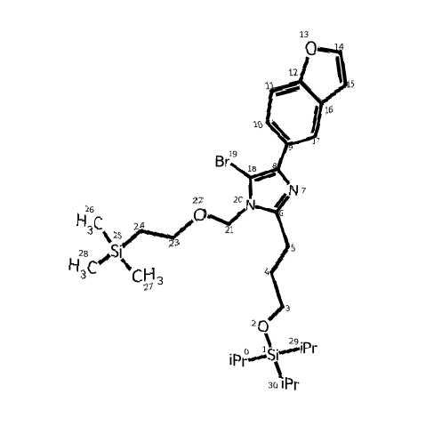 CC(C)[Si](OCCCc1nc(-c2ccc3occc3c2)c(Br)n1COCC[Si](C)(C)C)(C(C)C)C(C)C